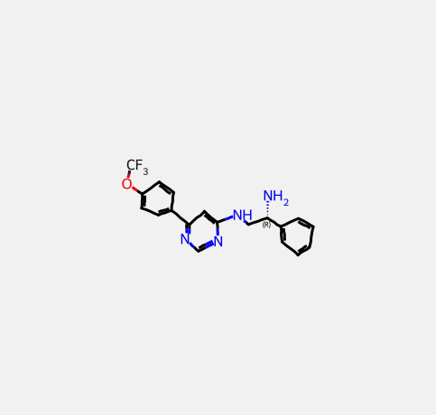 N[C@@H](CNc1cc(-c2ccc(OC(F)(F)F)cc2)ncn1)c1ccccc1